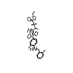 CCOC(=O)C(C)(C)C(C)NS(=O)(=O)c1ccc(NCc2ccccc2C)c(C)c1